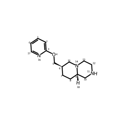 c1ccc(OC[C@@H]2CC[C@H]3CNCCN3C2)nc1